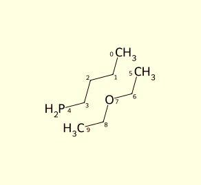 CCCCP.CCOCC